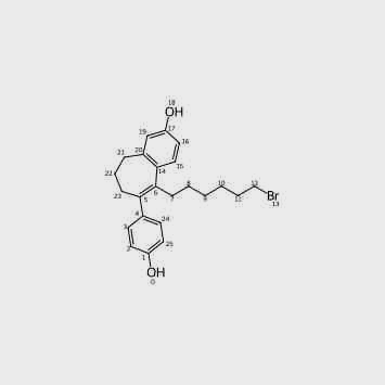 Oc1ccc(C2=C(CCCCCCBr)c3ccc(O)cc3CCC2)cc1